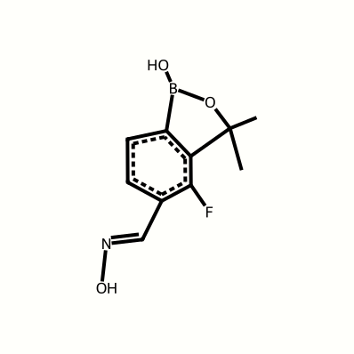 CC1(C)OB(O)c2ccc(/C=N/O)c(F)c21